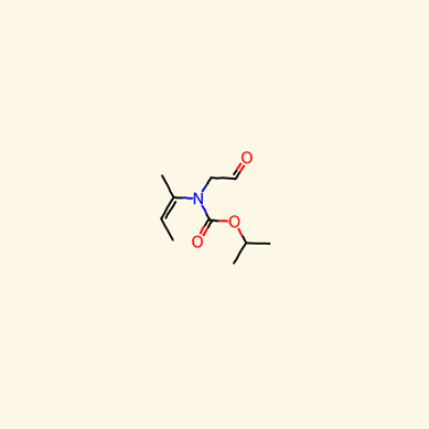 CC=C(C)N(CC=O)C(=O)OC(C)C